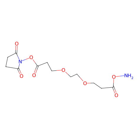 NOC(=O)CCOCCOCCC(=O)ON1C(=O)CCC1=O